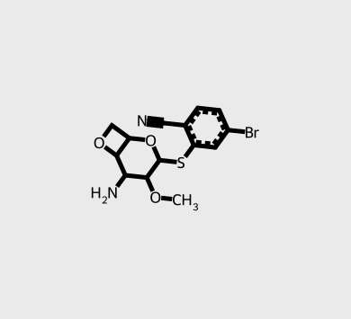 COC1C(Sc2cc(Br)ccc2C#N)OC2COC2C1N